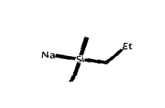 CCC[Si](C)(C)[Na]